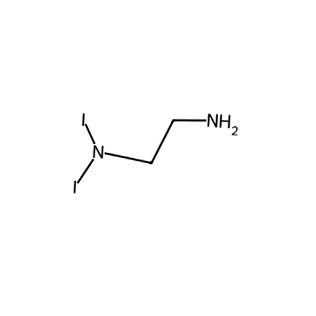 NCCN(I)I